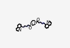 O=C(/C=C/C=C/c1cccc2cccnc12)N1CCCN(C(=O)/C=C/C=C/c2cccc3cccnc23)CC1